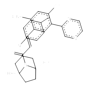 CC(=O)Nc1cc(Cl)c(-c2cnccn2)cc1C=CC(=O)N1[C@@H]2CC[C@H]1C[C@H](Nc1ccc(F)cc1)C2